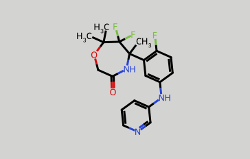 CC1(C)OCC(=O)NC(C)(c2cc(Nc3cccnc3)ccc2F)C1(F)F